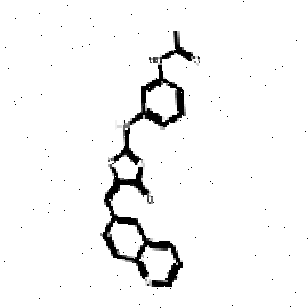 CC(=O)Nc1cccc(NC2=NC(=O)C(=Cc3ccc4ncccc4c3)S2)c1